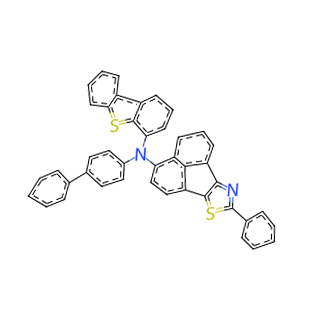 c1ccc(-c2ccc(N(c3ccc4c5c(cccc35)-c3nc(-c5ccccc5)sc3-4)c3cccc4c3sc3ccccc34)cc2)cc1